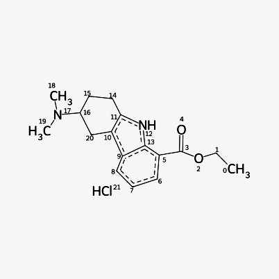 CCOC(=O)c1cccc2c3c([nH]c12)CCC(N(C)C)C3.Cl